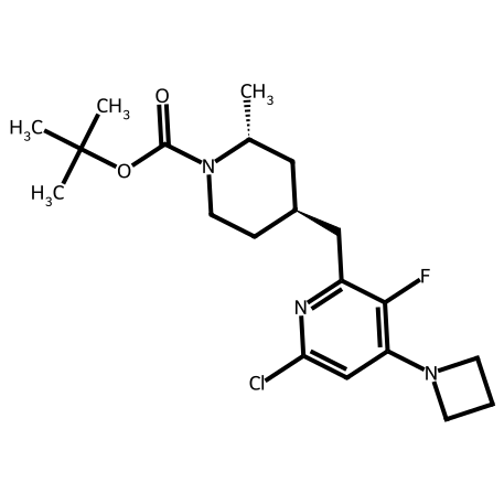 C[C@@H]1C[C@@H](Cc2nc(Cl)cc(N3CCC3)c2F)CCN1C(=O)OC(C)(C)C